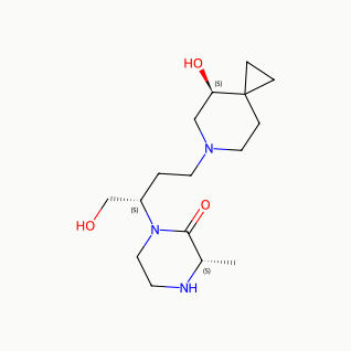 C[C@@H]1NCCN([C@H](CO)CCN2CCC3(CC3)[C@H](O)C2)C1=O